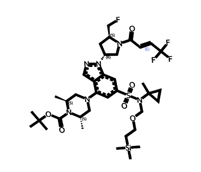 C[C@H]1CN(c2cc(S(=O)(=O)N(COCC[Si](C)(C)C)C3(C)CC3)cc3c2cnn3[C@@H]2C[C@@H](CF)N(C(=O)/C=C/C(F)(F)F)C2)C[C@H](C)N1C(=O)OC(C)(C)C